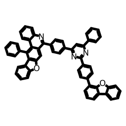 c1ccc(-c2cc(-c3ccc(-c4nc5ccccc5c5c(-c6ccccc6)c6c(cc45)oc4ccccc46)cc3)nc(-c3ccc(-c4cccc5c4oc4ccccc45)cc3)n2)cc1